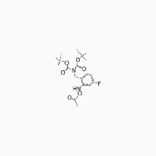 CC(=O)ONc1cc(F)ccc1CN(C(=O)OC(C)(C)C)C(=O)OC(C)(C)C